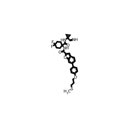 CSCCCOc1ccc(-c2ccc3cc(C(=O)NC4(C(=O)NC5(C=N)CC5)CCC(F)(F)CC4)oc3c2)cc1